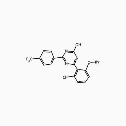 CC(C)Oc1cccc(Cl)c1-c1nc(O)nc(-c2ccc(C(F)(F)F)cc2)n1